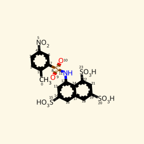 Cc1ccc([N+](=O)[O-])cc1S(=O)(=O)Nc1cc(S(=O)(=O)O)cc2cc(S(=O)(=O)O)cc(S(=O)(=O)O)c12